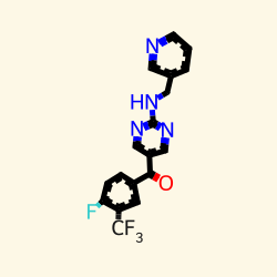 O=C(c1cnc(NCc2cccnc2)nc1)c1ccc(F)c(C(F)(F)F)c1